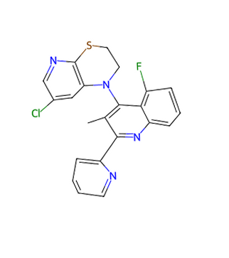 Cc1c(-c2ccccn2)nc2cccc(F)c2c1N1CCSc2ncc(Cl)cc21